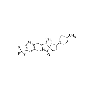 CC1CCN(C2CC[C@@]3(C2)C(=O)N2Cc4cc(C(F)(F)F)cnc4CC2C3C)CC1